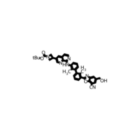 Cc1c(Nc2nccc3cc(C4CN(C(=O)OC(C)(C)C)C4)cnc23)cccc1-c1cccc(-c2nc3cc(CO)cc(C#N)c3o2)c1C